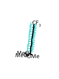 CO[Si](OC)(OC)C(C)C(F)(F)C(F)(F)C(F)(F)C(F)(F)C(F)(F)C(F)(F)C(F)(F)C(F)(F)C(F)(F)C(F)(F)C(F)(F)C(F)(F)C(F)(F)F